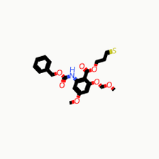 COCOc1cc(OC)cc(NC(=O)OCc2ccccc2)c1C(=O)OCCC=S